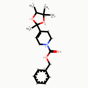 CC1OC(C)(C2=CCN(C(=O)OCc3ccccc3)CC2)OC1(C)C